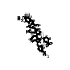 COc1ccc(Cn2nc(N[C@@H]3CCN(C(=O)O)C3)c3c(-c4ccnc(N5CCn6c(cc7c6CC(C)(C)C7)C5=O)c4CO)ccnc32)cc1